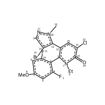 CCn1c(-c2c(F)cc(OC)cc2F)c(-c2c(Br)cnn2C)cc(Cl)c1=O